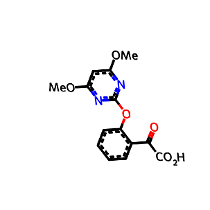 COc1cc(OC)nc(Oc2ccccc2C(=O)C(=O)O)n1